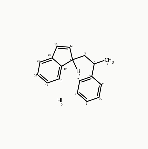 I.[Li][C]1(CC(C)c2ccccc2)C=Cc2ccccc21